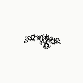 C[S+]([O-])c1ccc(CCN2CC=C(c3c[nH]c(-c4ccc(F)c(Cl)c4)c3-c3ccncc3)CC2)cc1